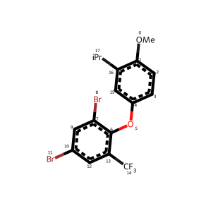 COc1ccc(Oc2c(Br)cc(Br)cc2C(F)(F)F)cc1C(C)C